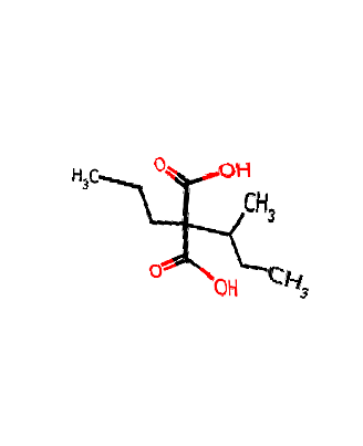 CCCC(C(=O)O)(C(=O)O)C(C)CC